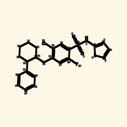 O=S(=O)(Nc1ncns1)c1cc(Cl)c(CN2CCCCC2c2ccncc2)cc1F